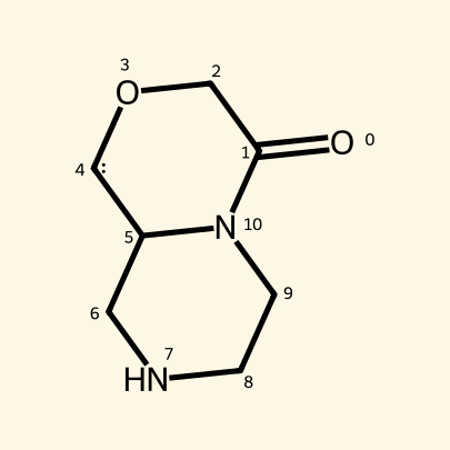 O=C1CO[C]C2CNCCN12